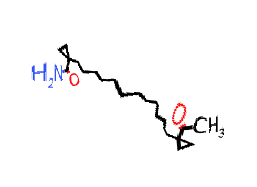 CC(=O)C1(CCCCCCCCCCCCC2(C(N)=O)CC2)CC1